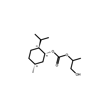 CC(CO)OC(=O)O[C@@H]1C[C@H](C)CC[C@H]1C(C)C